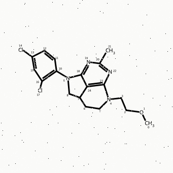 COCCN1CCC2CN(c3ccc(Cl)cc3Cl)c3nc(C)nc1c32